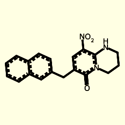 O=c1c(Cc2ccc3ccccc3c2)cc([N+](=O)[O-])c2n1CCCN2